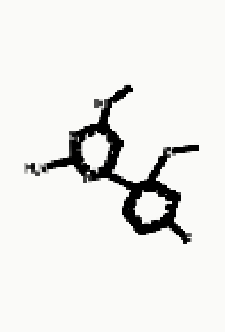 CNc1cc(-c2ccc(F)cc2OC)nc(N)n1